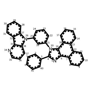 c1ccc(-c2nc3c4ccccc4c4ccccc4c3n2-c2cccc(-n3c4ccccc4c4ncccc43)c2)cc1